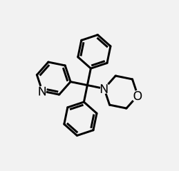 c1ccc(C(c2ccccc2)(c2cccnc2)N2CCOCC2)cc1